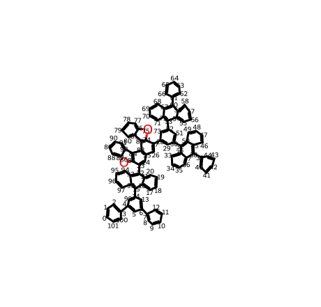 c1ccc(-c2cc(-c3ccccc3)cc(-c3c4ccccc4c(-c4cc5cc(-c6cc(-c7c8ccccc8c(-c8ccccc8)c8ccccc78)cc(-c7c8ccccc8c(-c8ccccc8)c8ccccc78)c6)c6oc7ccccc7c6c5c5c4oc4ccccc45)c4ccccc34)c2)cc1